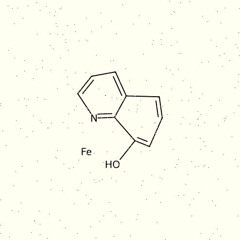 Oc1cccc2cccnc12.[Fe]